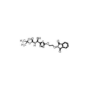 CC(C)(C)OC(=O)NC(=N)c1nnc(OCCON2C(=O)c3ccccc3C2=O)s1